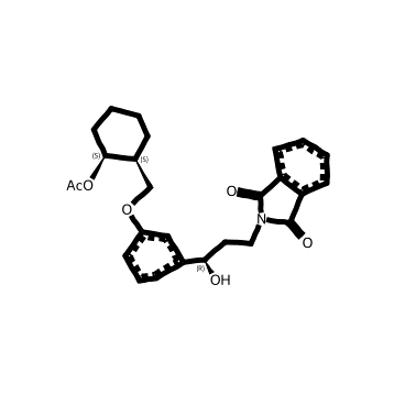 CC(=O)O[C@H]1CCCC[C@H]1COc1cccc([C@H](O)CCN2C(=O)c3ccccc3C2=O)c1